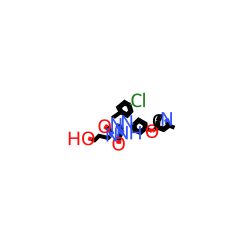 Cc1cc(Oc2ccc(/N=c3\[nH]c(=O)n(CCCO)c(=O)n3Cc3ccc(Cl)cc3)cc2)ccn1